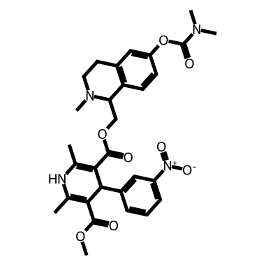 COC(=O)C1=C(C)NC(C)=C(C(=O)OCC2c3ccc(OC(=O)N(C)C)cc3CCN2C)C1c1cccc([N+](=O)[O-])c1